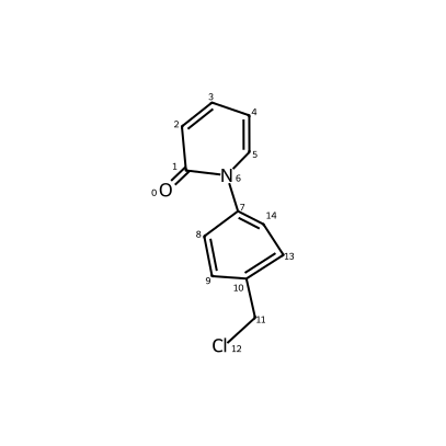 O=c1ccccn1-c1ccc(CCl)cc1